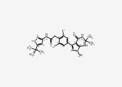 CC(C)n1nc(-c2cc(F)c(CC(=O)Nc3cc(C(C)(C)C(F)(F)F)on3)c(F)c2)c2c1NC(C)(C)NC2=O